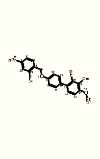 CCCc1ccc(COc2ccc(-c3ccc(OCC)c(F)c3F)cc2)c(F)c1